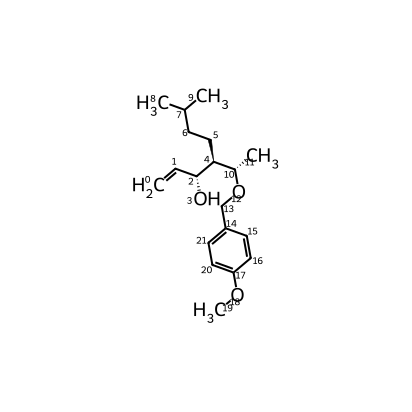 C=C[C@@H](O)[C@@H](CCC(C)C)[C@H](C)OCc1ccc(OC)cc1